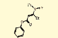 CC/C(=C\C(=O)Oc1ccccc1)N(C(C)C)C(C)C